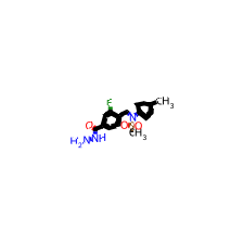 Cc1ccc(N(Cc2ccc(C(=O)NN)cc2F)S(C)(=O)=O)cc1